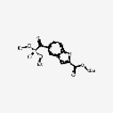 CCOP(=O)(OCC)C(=O)c1ccc2sc(C(=O)OC(C)(C)C)cc2c1